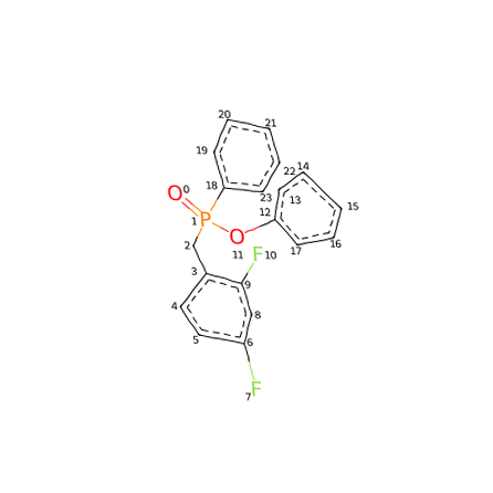 O=P(Cc1ccc(F)cc1F)(Oc1ccccc1)c1ccccc1